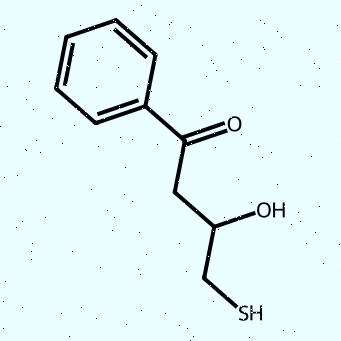 O=C(CC(O)CS)c1ccccc1